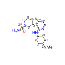 CN[C@H]1CC[C@H](Nc2ncnc3sc4c(c23)CN(S(N)(=O)=O)CC4)CC1